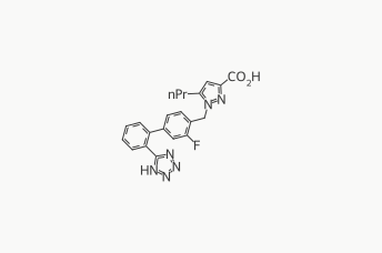 CCCc1cc(C(=O)O)nn1Cc1ccc(-c2ccccc2-c2nnn[nH]2)cc1F